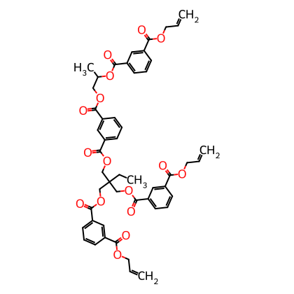 C=CCOC(=O)c1cccc(C(=O)OCC(CC)(COC(=O)c2cccc(C(=O)OCC=C)c2)COC(=O)c2cccc(C(=O)OCC(C)OC(=O)c3cccc(C(=O)OCC=C)c3)c2)c1